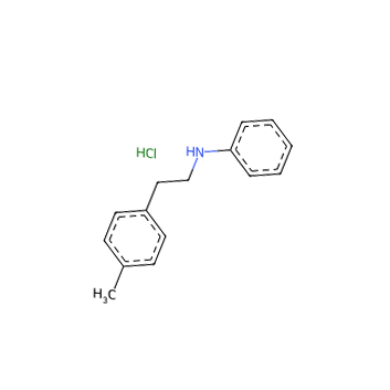 Cc1ccc(CCNc2ccccc2)cc1.Cl